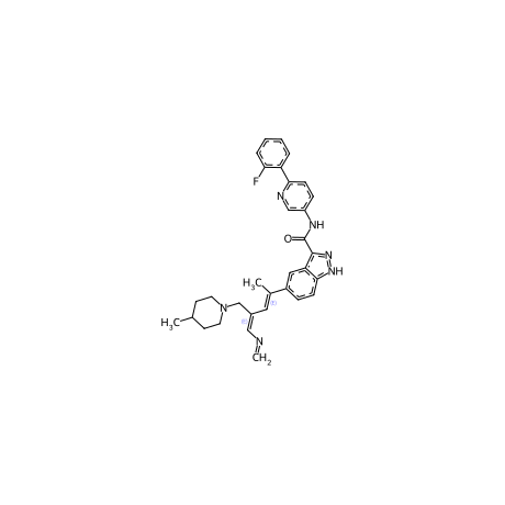 C=N/C=C(\C=C(/C)c1ccc2[nH]nc(C(=O)Nc3ccc(-c4ccccc4F)nc3)c2c1)CN1CCC(C)CC1